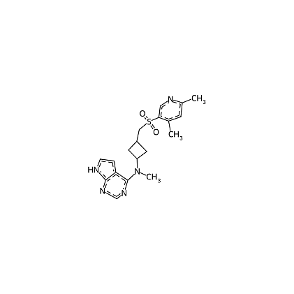 Cc1cc(C)c(S(=O)(=O)CC2CC(N(C)c3ncnc4[nH]ccc34)C2)cn1